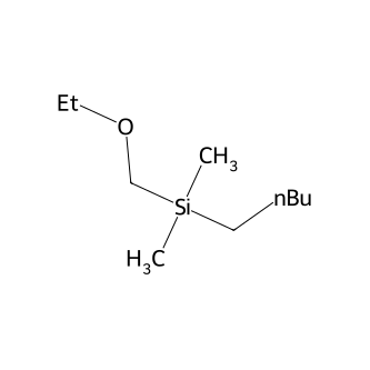 CCCCC[Si](C)(C)COCC